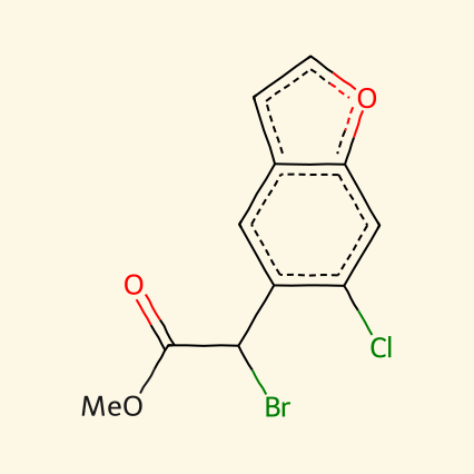 COC(=O)C(Br)c1cc2ccoc2cc1Cl